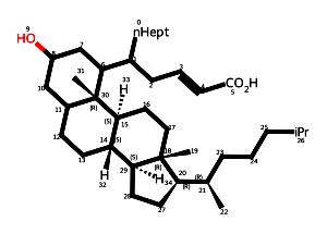 CCCCCCCC(CC=CC(=O)O)C1CC(O)CC2CC[C@@H]3[C@H](CC[C@]4(C)[C@@H]([C@H](C)CCCC(C)C)CC[C@@H]34)[C@]21C